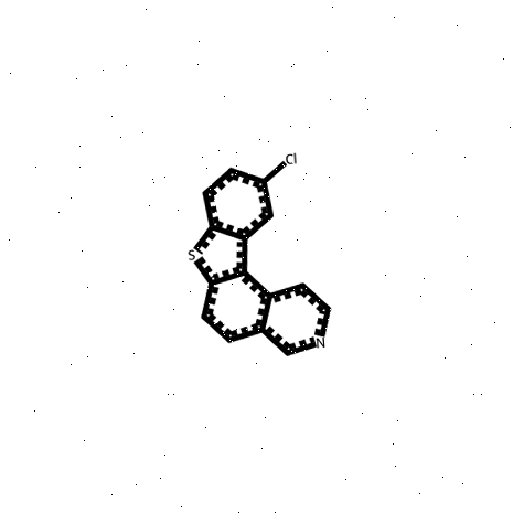 Clc1ccc2sc3ccc4cnccc4c3c2c1